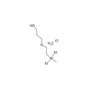 C.CC[N+](C)(CC)CCOCCCO.[Cl-]